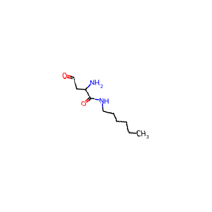 CCCCCCNC(=O)C(N)CC=O